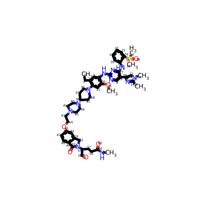 CCc1cc(Nc2ncc(-c3cn(C)c(C)n3)c(Nc3ccccc3P(C)(C)=O)n2)c(OC)cc1N1CCC(N2CCN(CCOc3ccc4c(c3)CN(C(C=O)CCC(=O)NC)C4=O)CC2)CC1